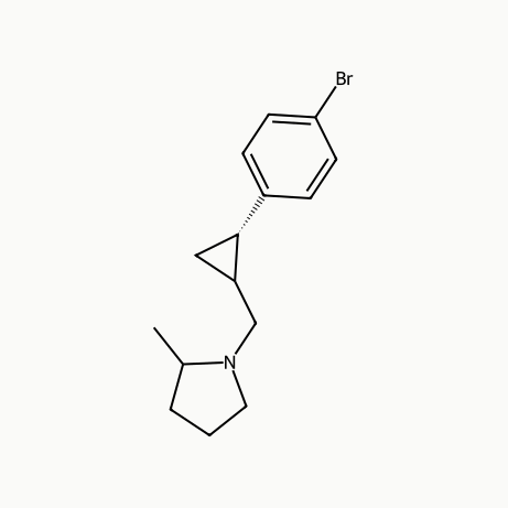 CC1CCCN1CC1C[C@@H]1c1ccc(Br)cc1